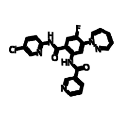 O=C(Nc1cc(N2C=CC=CC=N2)c(F)cc1C(=O)Nc1ccc(Cl)cn1)c1cccnc1